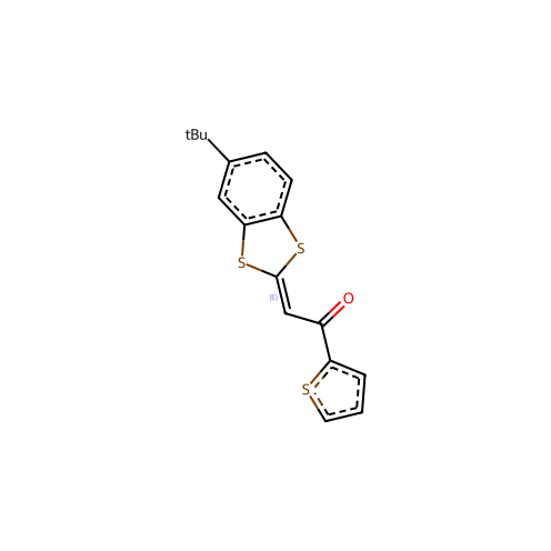 CC(C)(C)c1ccc2c(c1)S/C(=C/C(=O)c1cccs1)S2